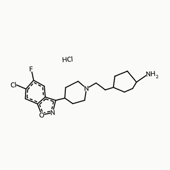 Cl.NC1CCC(CCN2CCC(c3noc4cc(Cl)c(F)cc34)CC2)CC1